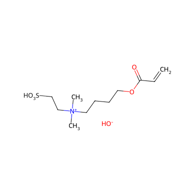 C=CC(=O)OCCCC[N+](C)(C)CCS(=O)(=O)O.[OH-]